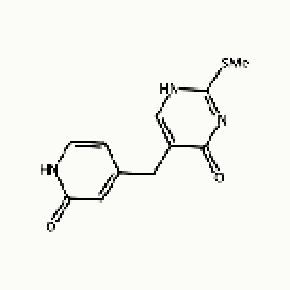 CSc1nc(=O)c(Cc2cc[nH]c(=O)c2)c[nH]1